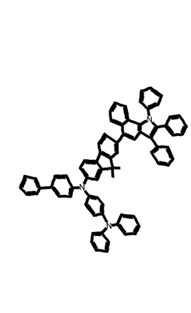 CC1(C)c2cc(-c3cc4c(-c5ccccc5)c(-c5ccccc5)n(-c5ccccc5)c4c4ccccc34)ccc2-c2ccc(N(c3ccc(-c4ccccc4)cc3)c3ccc(N(c4ccccc4)c4ccccc4)cc3)cc21